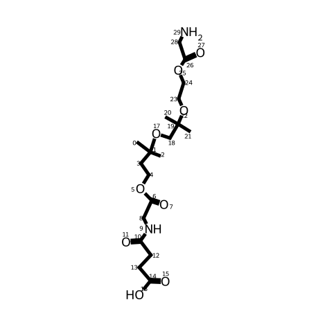 CC(C)(CCOC(=O)CNC(=O)CCC(=O)O)OCC(C)(C)OCCOC(=O)CN